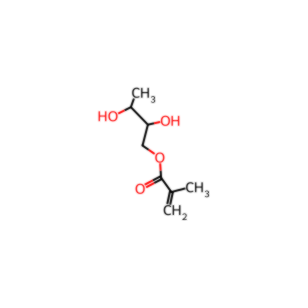 C=C(C)C(=O)OCC(O)C(C)O